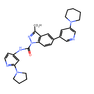 O=C(O)c1nn(C(=O)Nc2ccnc(N3CCCC3)c2)c2ccc(-c3cncc(N4CCCCC4)c3)cc12